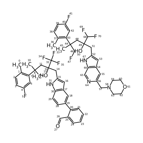 Cc1ccc(F)cc1C(C)(C)CC(O)(Cc1cc2cc(-c3ccccc3C=O)ccc2[nH]1)C(F)(F)F.Cc1ccc(F)cc1C(C)(CF)CC(O)(Cc1cc2cc(CN3CCOCC3)ncc2[nH]1)C(F)F